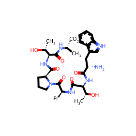 CC(C)[C@H](NC(=O)[C@@H](NC(=O)[C@@H](N)Cc1c[nH]c2ccccc12)[C@@H](C)O)C(=O)N1CCC[C@H]1C(=O)N[C@H](C(=O)N[C@@H](C)C(=O)O)[C@@H](C)O